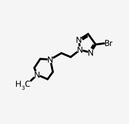 CN1CCN(CCn2ncc(Br)n2)CC1